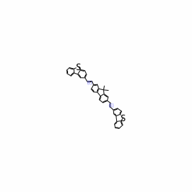 CC1(C)c2cc(/C=C/c3ccc4sc5ccccc5c4c3)ccc2-c2ccc(/C=C/c3ccc4sc5ccccc5c4c3)cc21